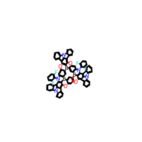 Fc1cccc(F)c1N1c2cc3c(cc2B2c4ccccc4Oc4c2c1c1c2ccccc2n2c5ccccc5c4c12)B1c2cc4c(cc2Oc2c1c(c1c5ccccc5n5c6ccccc6c2c15)O3)N(c1c(F)cccc1F)c1c2c(c3c5ccccc5n5c6ccccc6c1c35)Oc1ccccc1B42